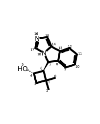 CC1(C)C[C@H](O)[C@H]1C1c2ccccc2-c2cncn21